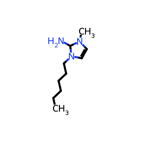 CCCCCCN1C=CN(C)C1N